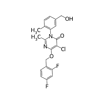 Cc1ccc(CO)cc1-n1c(C)nc(OCc2ccc(F)cc2F)c(Cl)c1=O